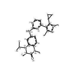 Cc1nn(C)c(C2CC2)c1-c1ccnc(Nc2ccc3c(c2)N(C(C)C)[C@H](C)C(=O)N3C)n1